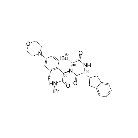 CC[C@@H](C)[C@@H]1C(=O)N[C@H](C2Cc3ccccc3C2)C(=O)N1[C@@H](C(=O)NC(C)C)c1ccc(N2CCOCC2)cc1F